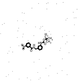 CC(C)(C)OC(=O)Nc1cccc(CNC(=O)c2cccc([N+](=O)[O-])c2)c1